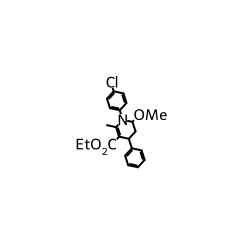 CCOC(=O)C1=C(C)N(c2ccc(Cl)cc2)C(OC)CC1c1ccccc1